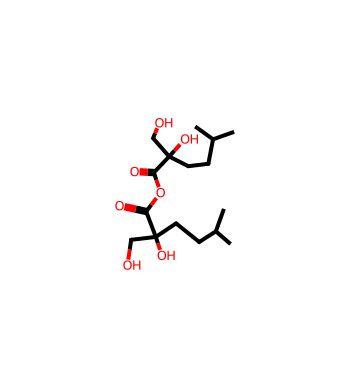 CC(C)CCC(O)(CO)C(=O)OC(=O)C(O)(CO)CCC(C)C